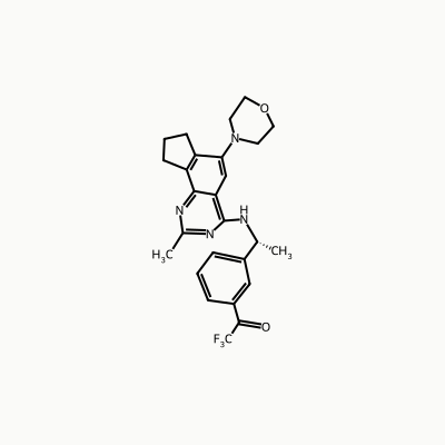 Cc1nc(N[C@H](C)c2cccc(C(=O)C(F)(F)F)c2)c2cc(N3CCOCC3)c3c(c2n1)CCC3